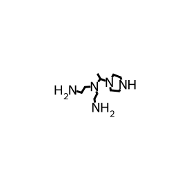 CC(N(CCN)CCN)N1CCNCC1